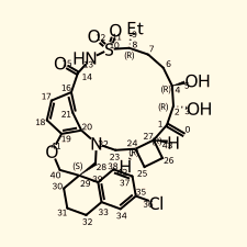 C=C1[C@@H](O)[C@H](O)CC[C@@H](CC)S(=O)(=O)NC(=O)c2ccc3c(c2)N(C[C@@H]2CC[C@@H]12)C[C@@]1(CCCc2cc(Cl)ccc21)CO3